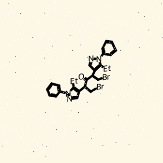 CCc1c(C(CBr)C(=O)C(CBr)c2cnn(-c3ccccc3)c2CC)cnn1-c1ccccc1